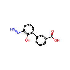 N=Nc1cccc(-c2cccc(C(=O)O)c2)c1O